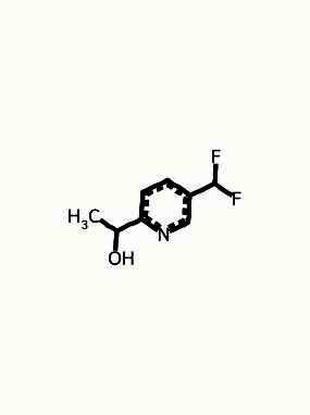 CC(O)c1ccc(C(F)F)cn1